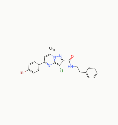 O=C(NCCc1ccccc1)c1nn2c(C(F)(F)F)cc(-c3ccc(Br)cc3)nc2c1Cl